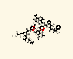 CC[C@H](C)[C@@H]([C@@H](CC(=O)N1CCC[C@H]1[C@H](OC)[C@@H](C)C(=O)N[C@H](C)[C@@H](O)c1ccccc1)OC)N(C)C(=O)[C@@H](NC(=O)[C@H](C(C)C)N(C)C(=O)OCc1ccc(NC(=O)[C@H](CCCNC(N)=O)NC(=O)[C@@H](NC(=O)OC(C)(C)C)C(C)C)c(O[C@@H]2O[C@H](C(=O)OC)[C@@H](OC(C)=O)[C@H](OC(C)=O)[C@H]2OC(C)=O)c1)C(C)C